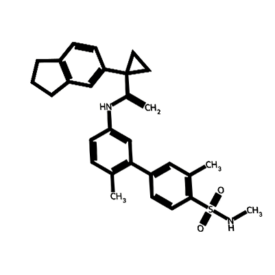 C=C(Nc1ccc(C)c(-c2ccc(S(=O)(=O)NC)c(C)c2)c1)C1(c2ccc3c(c2)CCC3)CC1